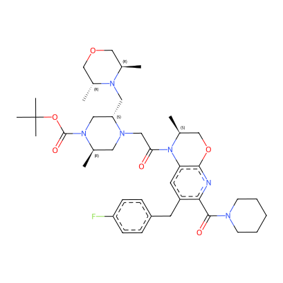 C[C@@H]1CN(CC(=O)N2c3cc(Cc4ccc(F)cc4)c(C(=O)N4CCCCC4)nc3OC[C@@H]2C)[C@@H](CN2[C@H](C)COC[C@H]2C)CN1C(=O)OC(C)(C)C